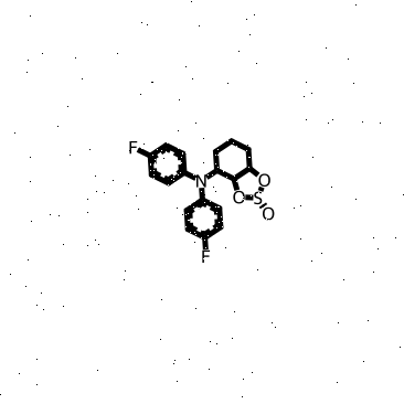 O=S1OC2CCCC(N(c3ccc(F)cc3)c3ccc(F)cc3)C2O1